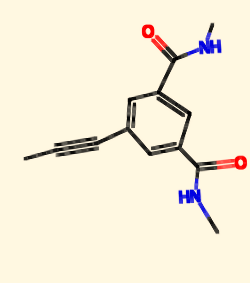 CC#Cc1cc(C(=O)NC)cc(C(=O)NC)c1